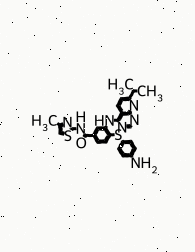 Cc1csc(NC(=O)c2ccc(Sc3ccc(N)cc3)c(Nc3ncnc4nc(C(C)C)ccc34)c2)n1